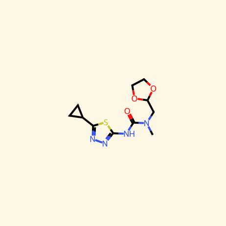 CN(CC1OCCO1)C(=O)Nc1nnc(C2CC2)s1